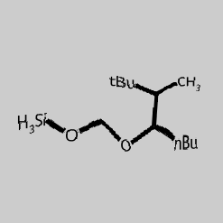 CCCCC(OCO[SiH3])C(C)C(C)(C)C